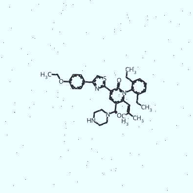 CCOc1ccc(-c2csc(-c3cc(C(=O)N4CCNCC4)c(C=C(C)C)n(-c4c(CC)cccc4CC)c3=O)n2)cc1